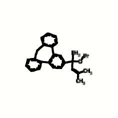 BC(C=C(C)C)(OC(C)C)c1ccc2c(c1)-c1ccccc1Cc1ccccc1-2